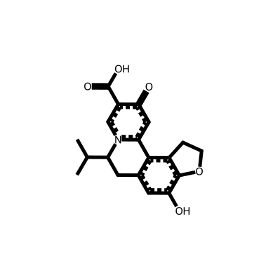 CC(C)C1Cc2cc(O)c3c(c2-c2cc(=O)c(C(=O)O)cn21)CCO3